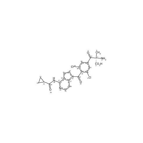 C[C@](N)(C(=O)O)C(=O)c1cc(Cl)c(C(=O)n2ccc3c(NC(=O)C4CC4)nccc32)c(Cl)c1